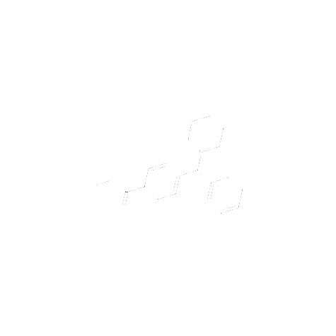 COC(=O)c1ccc(C(c2ccccc2)N2CCCCC2)cc1